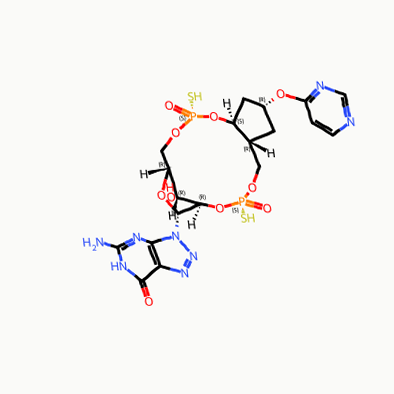 Nc1nc2c(nnn2[C@@H]2O[C@@H]3CO[P@](=O)(S)O[C@H]4C[C@H](Oc5ccncn5)C[C@@H]4CO[P@](=O)(S)O[C@@H]2[C@@H]3O)c(=O)[nH]1